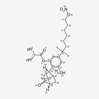 CCCC(CCC)C(=O)Oc1cc(C(C)(C)CCCCCCO[N+](=O)[O-])cc(O)c1[C@H]1CC(=O)[C@H]2C[C@H]1C2(C)C